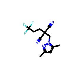 Cc1cc(C)n(CC(C#N)(C#N)CCC(F)(F)F)n1